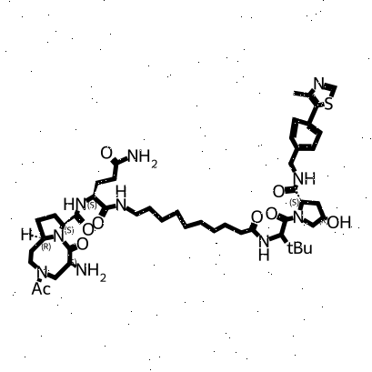 CC(=O)N1CC[C@H]2CC[C@@H](C(=O)N[C@@H](CCC(N)=O)C(=O)NCCCCCCCCCC(=O)NC(C(=O)N3C[C@H](O)C[C@H]3C(=O)NCc3ccc(-c4scnc4C)cc3)C(C)(C)C)N2C(=O)[C@@H](N)C1